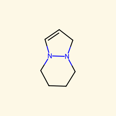 C1=CN2CCCCN2C1